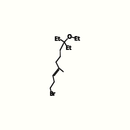 CCOC(CC)(CC)CCC/C(C)=C/CCBr